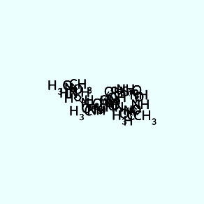 CC[C@H](C)[C@@H]1NC(=O)CNC(=O)[C@@H](NC(=O)[C@@H](CC[C@@H]2CCCN2C(=O)[C@H](CC(=O)NCc2ccc(NC(=O)[C@H](C)NC)cc2)NC)[C@@H](C)[C@@H](O)CO)Cc2c([nH]c3ccccc23)SC[C@@H](C=O)NC(=O)CNC1=O